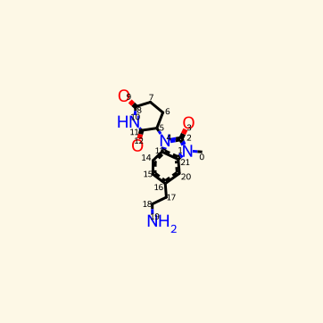 Cn1c(=O)n(C2CCC(=O)NC2=O)c2ccc(CCN)cc21